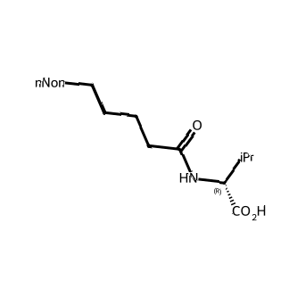 CCCCCCCCCCCCCC(=O)N[C@@H](C(=O)O)C(C)C